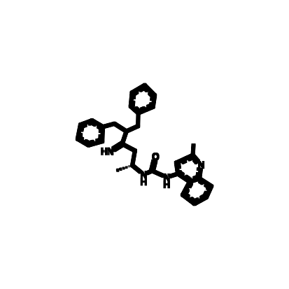 Cc1cc(NC(=O)N[C@H](C)CC(=N)C(Cc2ccccc2)Cc2ccccc2)c2ccccc2n1